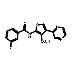 O=C(Nc1scc(-c2cnccn2)c1C(=O)O)c1cccc(F)c1